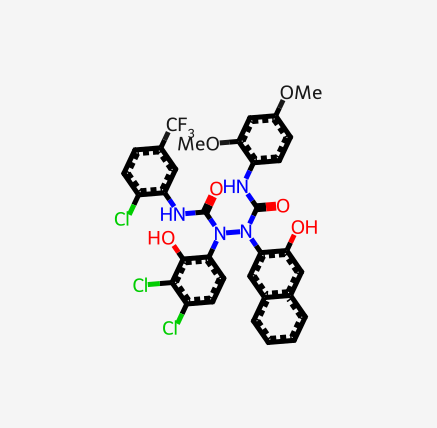 COc1ccc(NC(=O)N(c2cc3ccccc3cc2O)N(C(=O)Nc2cc(C(F)(F)F)ccc2Cl)c2ccc(Cl)c(Cl)c2O)c(OC)c1